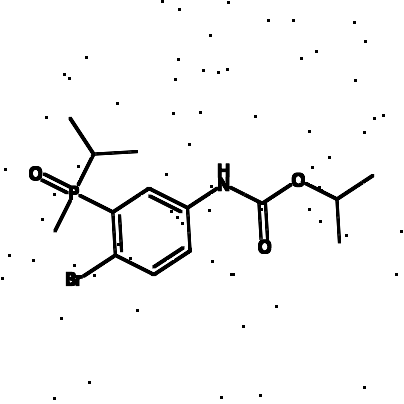 CC(C)OC(=O)Nc1ccc(Br)c(P(C)(=O)C(C)C)c1